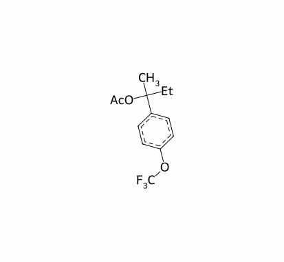 CCC(C)(OC(C)=O)c1ccc(OC(F)(F)F)cc1